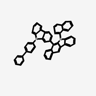 c1ccc(-c2ccc(-n3c4ccccc4c4ccc(-c5c6ccccc6cc6c7ccccc7n(-c7cccc8ccccc78)c56)cc43)cc2)cc1